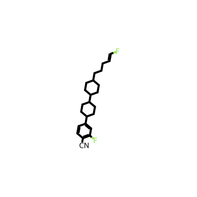 N#Cc1ccc(C2CCC(C3CCC(CCC/C=C/F)CC3)CC2)cc1F